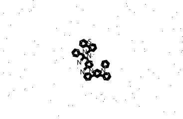 N#Cc1cc(-c2nc(-c3cccc4sc5ccccc5c34)nc(-c3ccccc3)c2C#N)ccc1-n1c2ccccc2c2cc3c4ccccc4n(-c4ccccc4)c3cc21